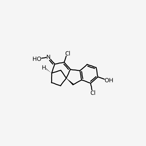 O/N=C1/C(Cl)=C2c3ccc(O)c(Cl)c3C[C@]23CC[C@@H]1C3